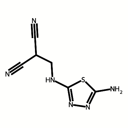 N#CC(C#N)CNc1nnc(N)s1